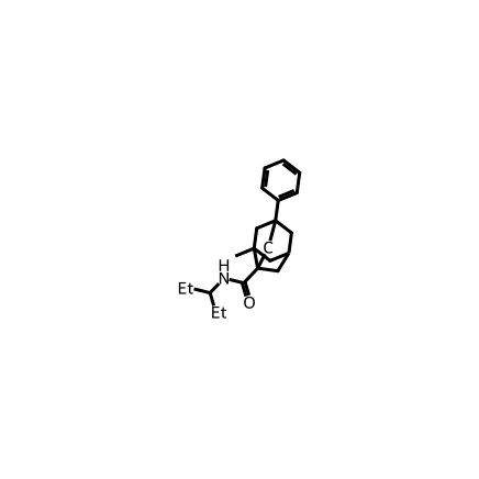 CCC(CC)NC(=O)C12CC3CC(c4ccccc4)(CC1(C)C3)C2